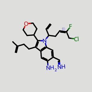 C=CC(C/C=C(/F)CCl)n1c(C2CCOCC2)c(CCC(=C)C)c2cc(N)c(C=N)cc21